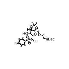 CCCCCCCCCCCCOC[C@@]12O[C@@H](C(O)S(=O)(=O)c3ccc(C)cc3)[C@@H](O)[C@@H]1OC(C)(C)O2